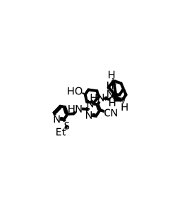 CCSc1ncccc1CNc1ncc(C#N)c(NC[C@]23CC4C[C@H](C2)[C@@H](NC[C@H]2CC[C@H](O)CC2)[C@@H](C4)C3)n1